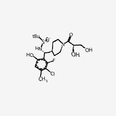 Cc1cc(O)c([C@H](N[S+]([O-])C(C)(C)C)C2CCN(C(=O)[C@H](O)CO)CC2)c(F)c1Cl